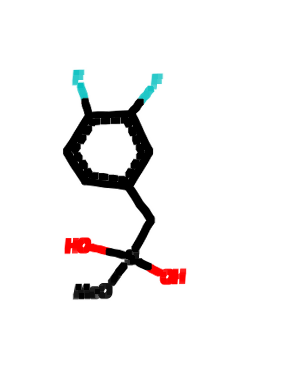 CO[Si](O)(O)Cc1ccc(F)c(F)c1